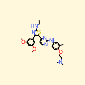 CCNc1nc(-c2cc(OC)cc(OC)c2)c(-c2ccnc(Nc3ccc(OCCN(C)C)c(C)c3)n2)s1